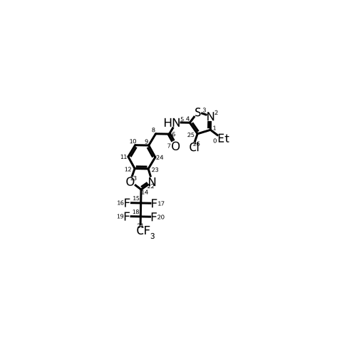 CCc1nsc(NC(=O)Cc2ccc3oc(C(F)(F)C(F)(F)C(F)(F)F)nc3c2)c1Cl